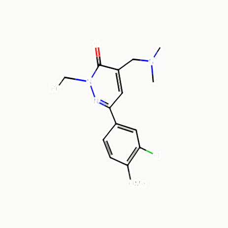 COc1ccc(-c2cc(CN(C)C)c(=O)n(CC(C)C)n2)cc1Cl